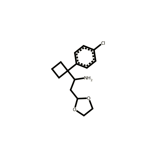 NC(CC1OCCO1)C1(c2ccc(Cl)cc2)CCC1